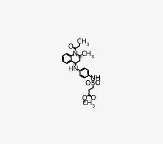 CCC(=O)N1c2ccccc2[C@H](Nc2ccc(NS(=O)(=O)CCC(=O)OC)cc2)C[C@@H]1C